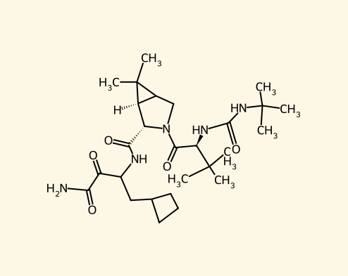 CC(C)(C)NC(=O)N[C@H](C(=O)N1CC2[C@@H]([C@H]1C(=O)NC(CC1CCC1)C(=O)C(N)=O)C2(C)C)C(C)(C)C